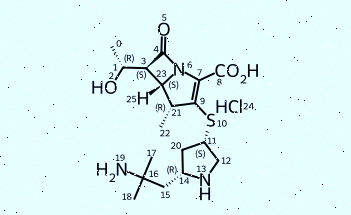 C[C@@H](O)[C@H]1C(=O)N2C(C(=O)O)=C(S[C@@H]3CN[C@H](CC(C)(C)N)C3)[C@H](C)[C@H]12.Cl